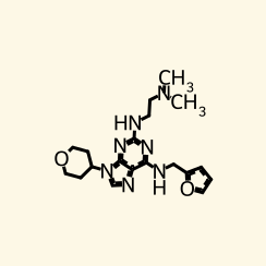 CN(C)CCNc1nc(NCc2ccco2)c2ncn(C3CCOCC3)c2n1